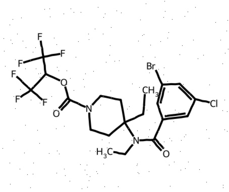 CCN(C(=O)c1cc(Cl)cc(Br)c1)C1(CC)CCN(C(=O)OC(C(F)(F)F)C(F)(F)F)CC1